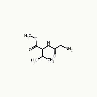 COC(=O)C(NC(=O)CN)C(C)C